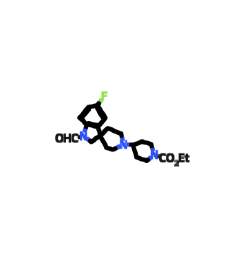 CCOC(=O)N1CCC(N2CCC3(CC2)CN(C=O)c2ccc(F)cc23)CC1